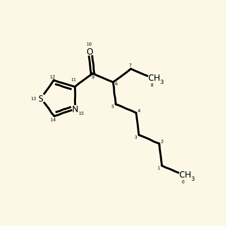 CCCCCCC(CC)C(=O)c1cscn1